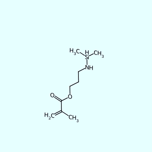 C=C(C)C(=O)OCCCN[SiH](C)C